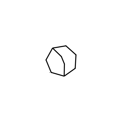 [CH]1CC2CCCC1CC2